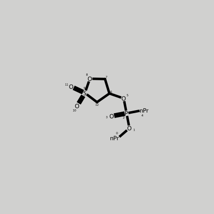 CCCOP(=O)(CCC)OC1COS(=O)(=O)C1